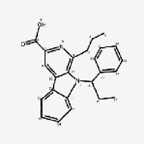 CCCc1nc(C(=O)O)cc2c3ccccc3n(C(CC)c3ccccc3)c12